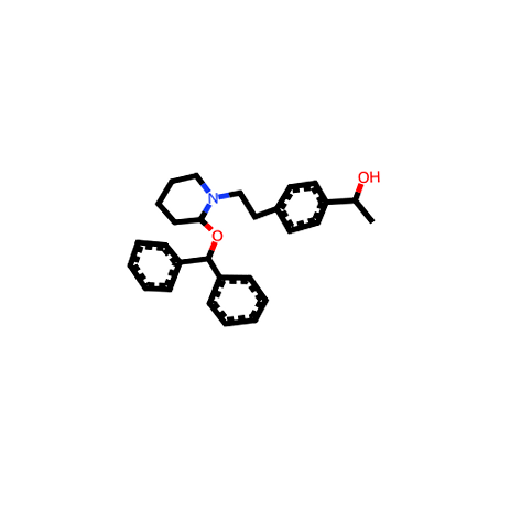 CC(O)c1ccc(CCN2CCCCC2OC(c2ccccc2)c2ccccc2)cc1